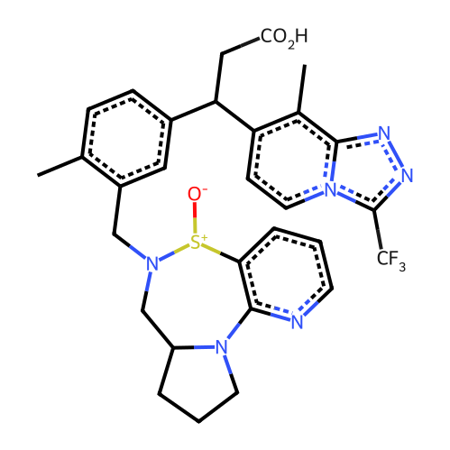 Cc1ccc(C(CC(=O)O)c2ccn3c(C(F)(F)F)nnc3c2C)cc1CN1CC2CCCN2c2ncccc2[S+]1[O-]